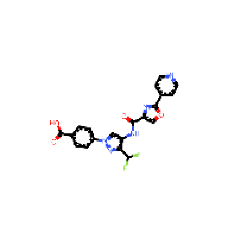 O=C(O)c1ccc(-n2cc(NC(=O)c3coc(-c4ccncc4)n3)c(C(F)F)n2)cc1